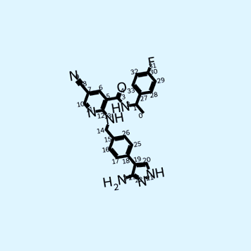 CC(NC(=O)c1cc(C#N)cnc1NCc1ccc(-c2c[nH]nc2N)cc1)c1ccc(F)cc1